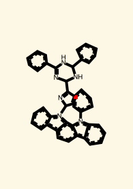 C1=CC(n2c3ccccc3c3ccc4c5ccccc5n(-c5ccccc5)c4c32)N=C1C1N=C(c2ccccc2)NC(c2ccccc2)N1